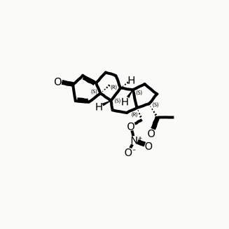 CC(=O)[C@H]1CC[C@H]2[C@@H]3CCC4=CC(=O)C=C[C@]4(C)[C@H]3CC[C@]12CO[N+](=O)[O-]